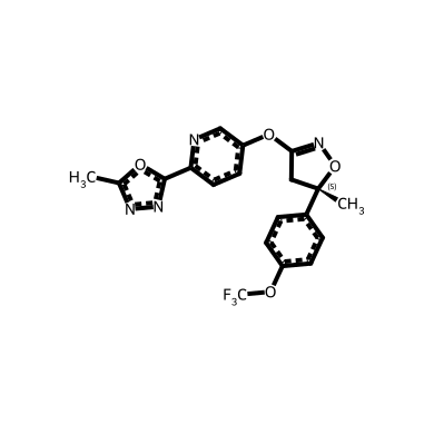 Cc1nnc(-c2ccc(OC3=NO[C@](C)(c4ccc(OC(F)(F)F)cc4)C3)cn2)o1